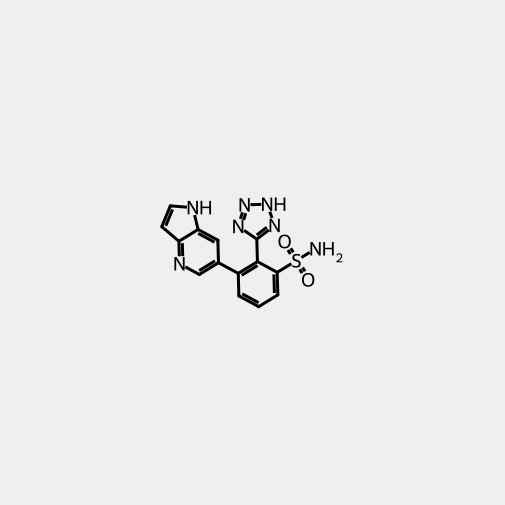 NS(=O)(=O)c1cccc(-c2cnc3cc[nH]c3c2)c1-c1nn[nH]n1